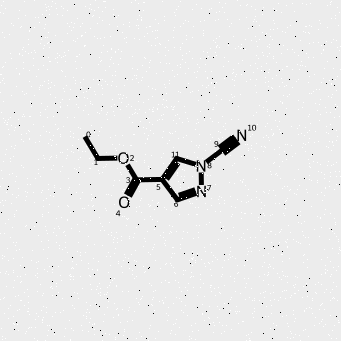 CCOC(=O)c1cnn(C#N)c1